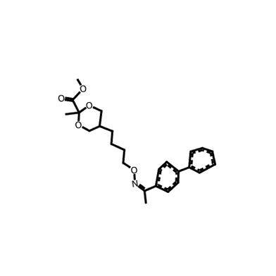 COC(=O)C1(C)OCC(CCCCON=C(C)c2ccc(-c3ccccc3)cc2)CO1